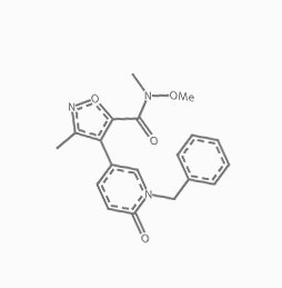 CON(C)C(=O)c1onc(C)c1-c1ccc(=O)n(Cc2ccccc2)c1